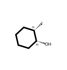 O[C@@H]1CCCC[C@@H]1I